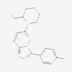 OCC1CCCCN1c1ccc2nnc(-c3ccc(Cl)cc3)n2n1